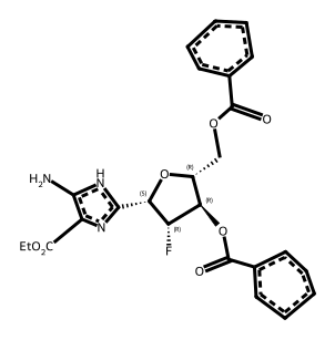 CCOC(=O)c1nc([C@@H]2O[C@H](COC(=O)c3ccccc3)[C@@H](OC(=O)c3ccccc3)[C@@H]2F)[nH]c1N